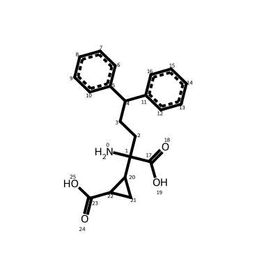 NC(CCC(c1ccccc1)c1ccccc1)(C(=O)O)C1CC1C(=O)O